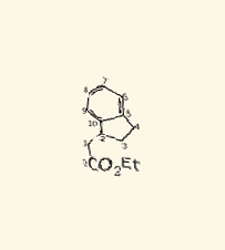 CCOC(=O)CC1CCc2ccccc21